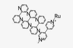 C[n+]1ccc(-c2cc[n+](C)cc2)cc1.[Ru].c1ccc(-c2ccccn2)nc1.c1ccc(-c2ccccn2)nc1.c1ccc(-c2ccccn2)nc1